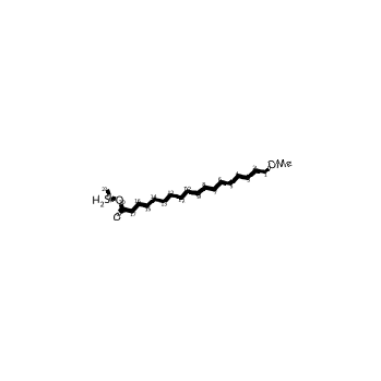 COCCCCCCCCCCCCCCCCCC(=O)O[SiH2]C